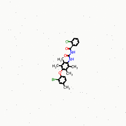 Cc1ccc(Oc2c(C)c(C)c(NC(=O)NC(=O)c3ccccc3Cl)c(C)c2C)c(Br)c1